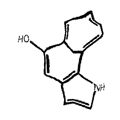 Oc1cc2cc[nH]c2c2ccccc12